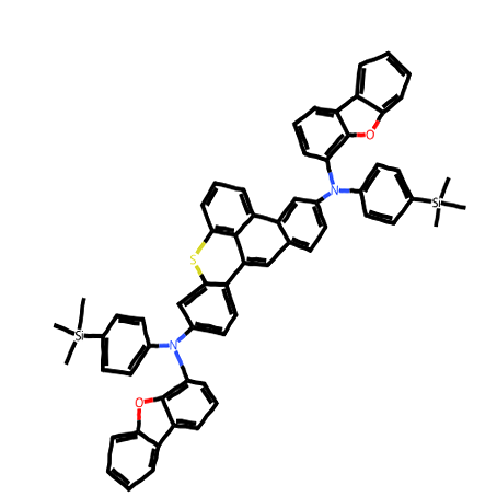 C[Si](C)(C)c1ccc(N(c2ccc3c(c2)Sc2cccc4c2c-3cc2ccc(N(c3ccc([Si](C)(C)C)cc3)c3cccc5c3oc3ccccc35)cc24)c2cccc3c2oc2ccccc23)cc1